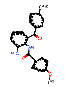 COc1ccc(C(=O)c2cccc(N)c2NC(=O)c2ccc(OC(C)C)cc2)cc1